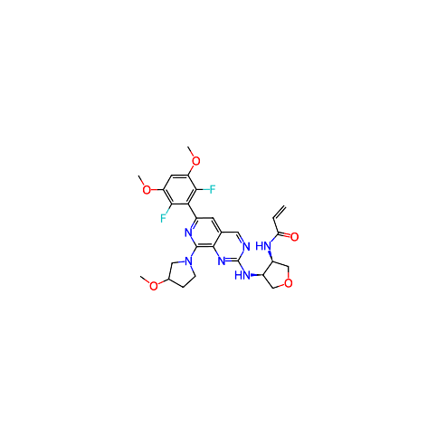 C=CC(=O)N[C@H]1COC[C@H]1Nc1ncc2cc(-c3c(F)c(OC)cc(OC)c3F)nc(N3CCC(OC)C3)c2n1